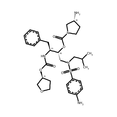 CC(C)CN(C[C@@H](OC(=O)N1CC[C@@H](N)C1)[C@H](Cc1ccccc1)NC(=O)O[C@H]1CCOC1)S(=O)(=O)c1ccc(N)cc1